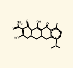 Cc1ccc(N(C)C)c2c1C(=O)C1=C(O)C3C(=O)C(C(N)=O)=C(O)CC3CC1C2